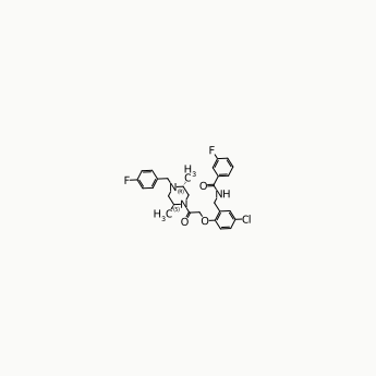 C[C@@H]1CN(C(=O)COc2ccc(Cl)cc2CNC(=O)c2cccc(F)c2)[C@@H](C)CN1Cc1ccc(F)cc1